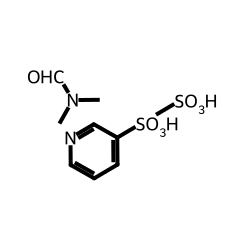 CN(C)C=O.CS(=O)(=O)O.O=S(=O)(O)c1cccnc1